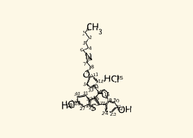 CCCCCCN=CCOc1ccc(C(=O)c2c(-c3ccc(O)cc3)sc3cc(O)ccc23)cc1.Cl